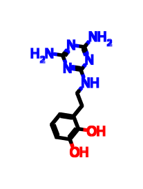 Nc1nc(N)nc(NCCc2cccc(O)c2O)n1